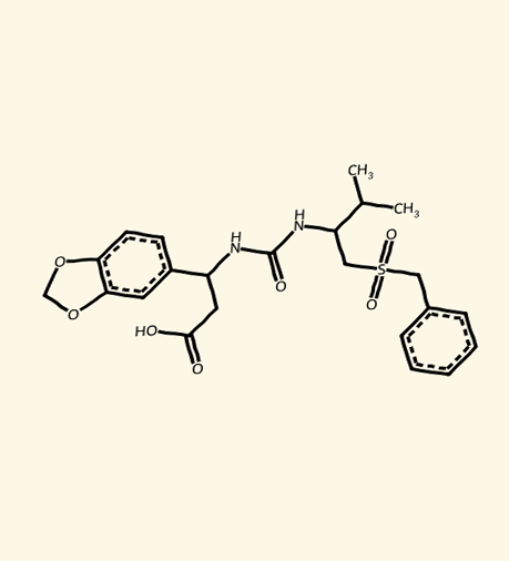 CC(C)C(CS(=O)(=O)Cc1ccccc1)NC(=O)NC(CC(=O)O)c1ccc2c(c1)OCO2